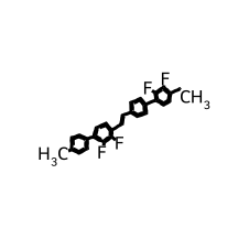 CCc1ccc(-c2ccc(/C=C/c3ccc(-c4ccc(C)cc4)c(F)c3F)cc2)c(F)c1F